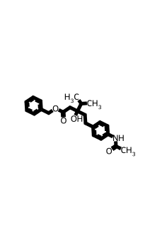 CC(=O)Nc1ccc(CCC(O)(CC(=O)OCc2ccccc2)C(C)C)cc1